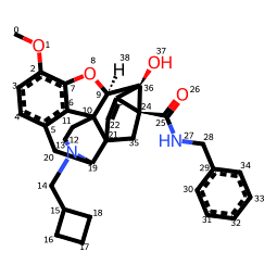 COc1ccc2c3c1O[C@@H]1C34CCN(CC3CCC3)C(C2)C42C=C3[C@@](C(=O)NCc4ccccc4)(C2)[C@]31O